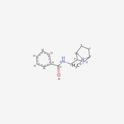 CN1C2CCC1C(CNC(=O)c1ccccc1)C2